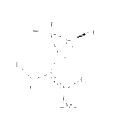 COC(Cl)=C(C(F)F)[C@H]1[C@H](C(=O)O)C1(C)C